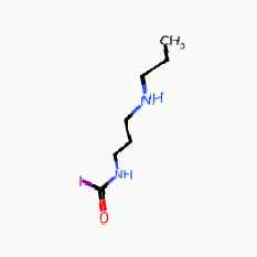 CCCNCCCNC(=O)I